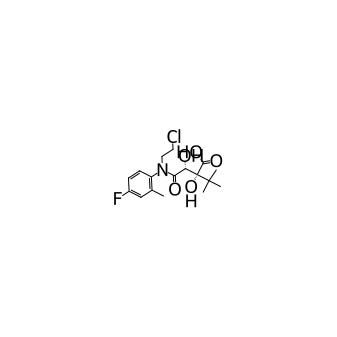 Cc1cc(F)ccc1N(CCCl)C(=O)[C@H](O)[C@@](O)(C(=O)O)C(C)(C)C